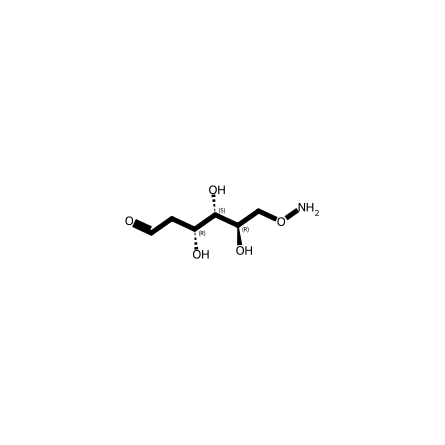 NOC[C@@H](O)[C@@H](O)[C@H](O)CC=O